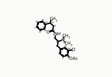 CC(=O)Oc1ccc(CC(CNC(=O)CC(C)c2ccccc2)N(C)C)cc1Cl